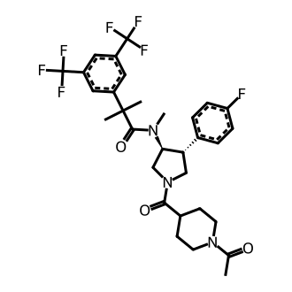 CC(=O)N1CCC(C(=O)N2C[C@@H](N(C)C(=O)C(C)(C)c3cc(C(F)(F)F)cc(C(F)(F)F)c3)[C@H](c3ccc(F)cc3)C2)CC1